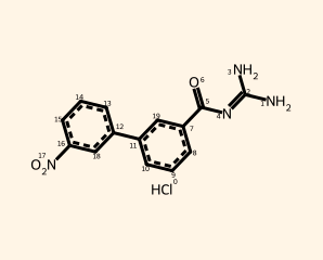 Cl.NC(N)=NC(=O)c1cccc(-c2cccc([N+](=O)[O-])c2)c1